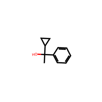 CC(O)(c1ccccc1)C1CC1